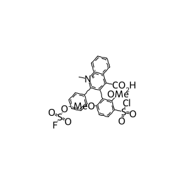 COc1ccc(S(=O)(=O)Cl)c(OC)c1-c1c(C(=O)O)c2ccccc2[n+](C)c1-c1ccccc1.O=S(=O)([O-])F